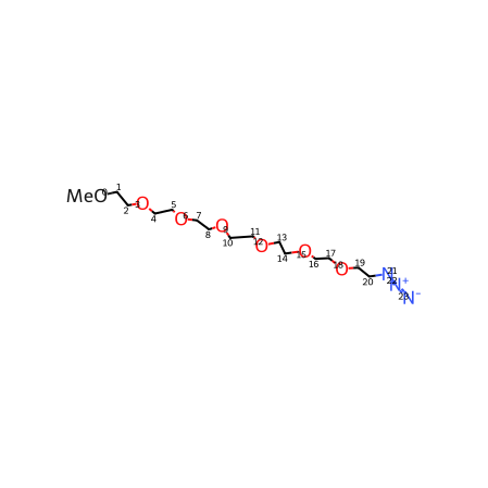 COCCOCCOCCOCCOCCOCCOCCN=[N+]=[N-]